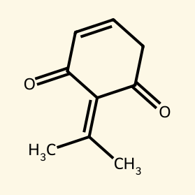 CC(C)=C1C(=O)C=CCC1=O